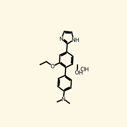 CCOc1cc(-c2ncc[nH]2)ccc1-c1ccc(N(C)C)cc1.CO.Cl